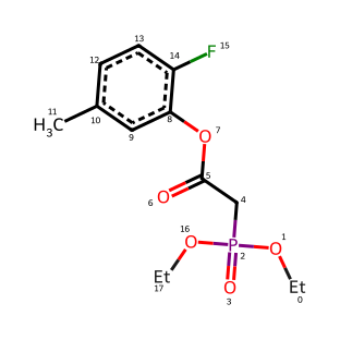 CCOP(=O)(CC(=O)Oc1cc(C)ccc1F)OCC